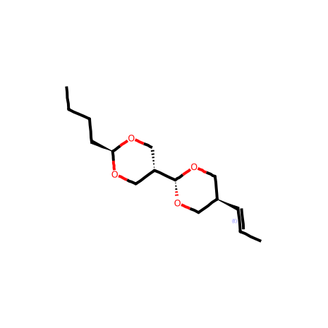 C/C=C/[C@H]1CO[C@H]([C@H]2CO[C@H](CCCC)OC2)OC1